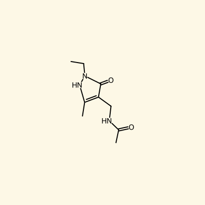 CCn1[nH]c(C)c(CNC(C)=O)c1=O